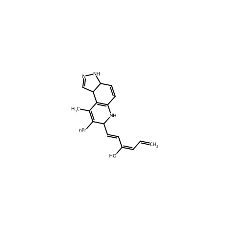 C=C/C=C(O)\C=C\C1NC2=C(C(C)=C1CCC)C1C=NNC1C=C2